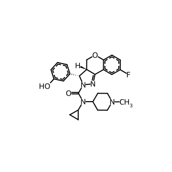 CN1CCC(N(C(=O)N2N=C3c4cc(F)ccc4OC[C@H]3[C@H]2c2cccc(O)c2)C2CC2)CC1